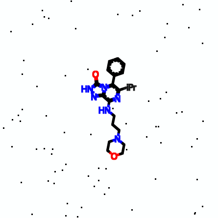 CC(C)c1nc(NCCCN2CCOCC2)c2n[nH]c(=O)n2c1-c1ccccc1